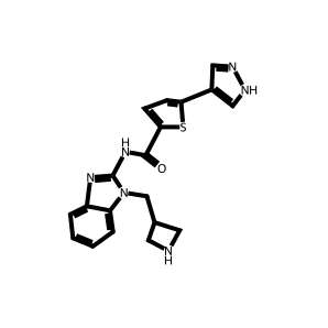 O=C(Nc1nc2ccccc2n1CC1CNC1)c1ccc(-c2cn[nH]c2)s1